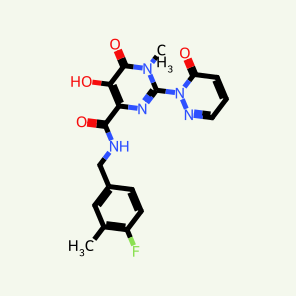 Cc1cc(CNC(=O)c2nc(-n3ncccc3=O)n(C)c(=O)c2O)ccc1F